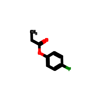 CCC(=O)Oc1ccc(F)cc1